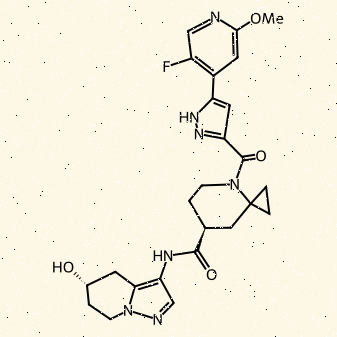 COc1cc(-c2cc(C(=O)N3CC[C@H](C(=O)Nc4cnn5c4C[C@@H](O)CC5)CC34CC4)n[nH]2)c(F)cn1